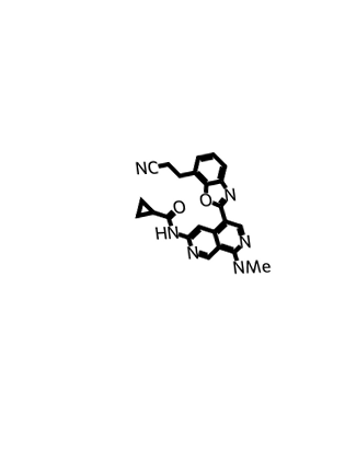 CNc1ncc(-c2nc3cccc(CCC#N)c3o2)c2cc(NC(=O)C3CC3)ncc12